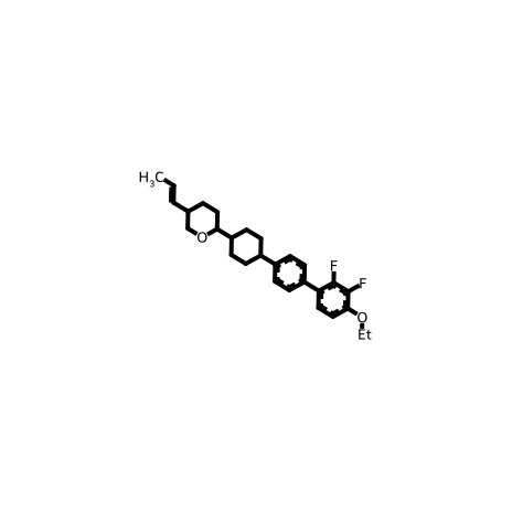 C/C=C/C1CCC(C2CCC(c3ccc(-c4ccc(OCC)c(F)c4F)cc3)CC2)OC1